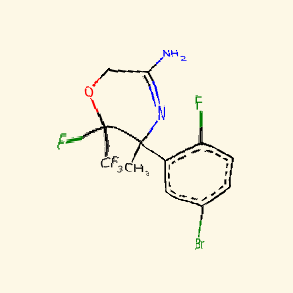 CC1(c2cc(Br)ccc2F)N=C(N)COC1(F)C(F)(F)F